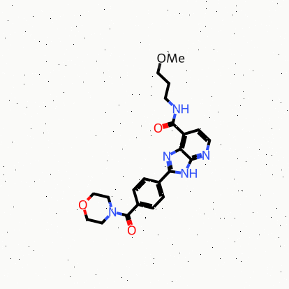 COCCCNC(=O)c1ccnc2[nH]c(-c3ccc(C(=O)N4CCOCC4)cc3)nc12